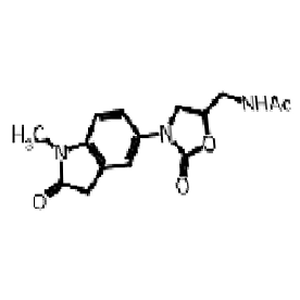 CC(=O)NCC1CN(c2ccc3c(c2)CC(=O)N3C)C(=O)O1